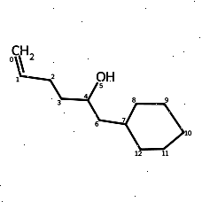 C=CCCC(O)CC1CCCCC1